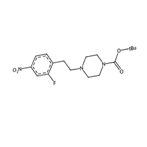 CC(C)(C)OC(=O)N1CCN(CCc2ccc([N+](=O)[O-])cc2F)CC1